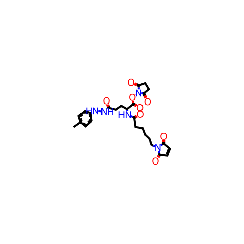 Cc1ccc(NNC(=O)CCC(NC(=O)CCCCCN2C(=O)C=CC2=O)C(=O)ON2C(=O)CCC2=O)cc1